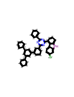 Brc1ccc2c(c1)[pH]c1cccc(-c3nc(-c4ccccc4)nc(-c4cccc(-c5cc(-c6ccccc6)cc(-c6ccccc6)c5)c4)n3)c12